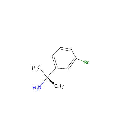 [CH2][C@](C)(N)c1cccc(Br)c1